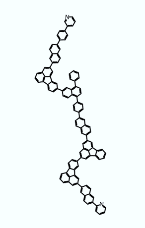 c1ccc(-c2ccc(-c3ccc(-c4ccc5cc(-c6cc7c8c(cc(-c9ccc%10c(c9)-c9cc(-c%11ccc%12cc(-c%13ccccn%13)ccc%12c%11)cc%11cccc-%10c9%11)cc8c6)-c6ccccc6-7)ccc5c4)cc3)c3ccc(-c4ccc5c(c4)-c4cc(-c6ccc7cc(-c8ccc(-c9cccnc9)cc8)ccc7c6)cc6cccc-5c46)cc23)cc1